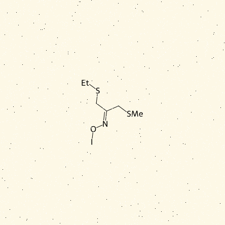 CCSC/C(CSC)=N\OI